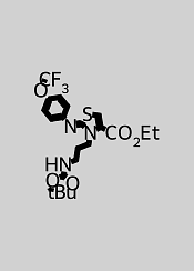 CCOC(=O)c1cs/c(=N\c2ccc(OC(F)(F)F)cc2)n1CCCNC(=O)OC(C)(C)C